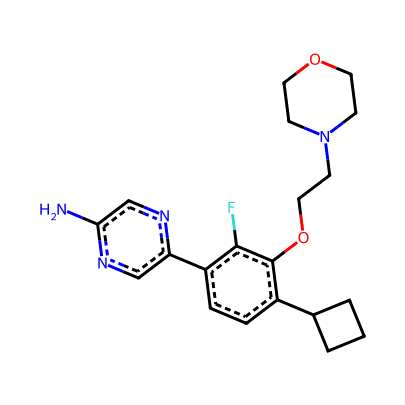 Nc1cnc(-c2ccc(C3CCC3)c(OCCN3CCOCC3)c2F)cn1